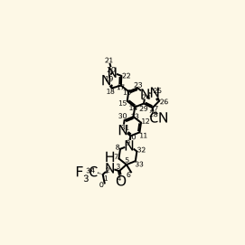 C[C@@H](NC(=O)C1(C)CCN(c2ccc(-c3cc(-c4cnn(C)c4)cn4ncc(C#N)c34)cn2)CC1)C(F)(F)F